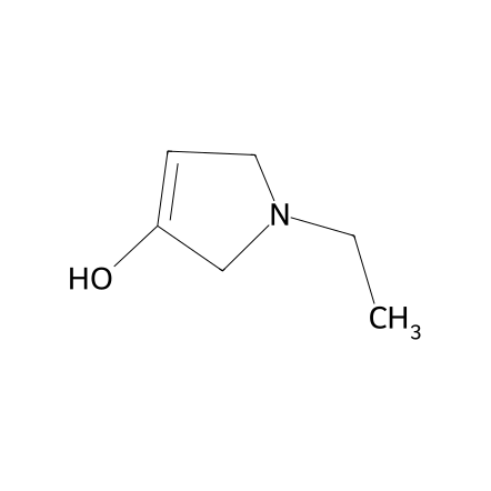 CCN1CC=C(O)C1